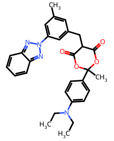 CCN(CC)c1ccc(C2(C)OC(=O)C(Cc3cc(C)cc(-n4nc5ccccc5n4)c3)C(=O)O2)cc1